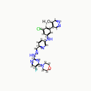 Cc1cnncc1-c1cc(Cl)cc(Nc2ccc(/C=N/Nc3ncc(F)c(N4CCOCC4)n3)nc2)c1